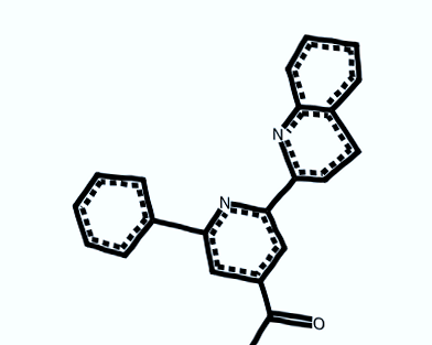 O=C(O)c1cc(-c2ccccc2)nc(-c2ccc3ccccc3n2)c1